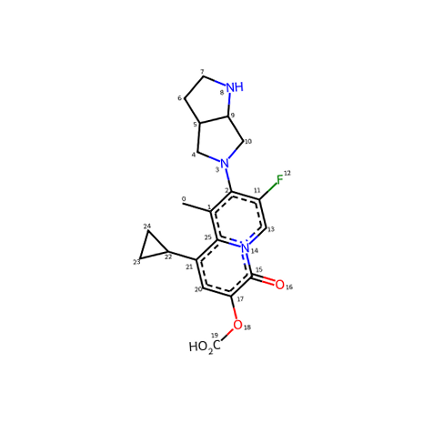 Cc1c(N2CC3CCNC3C2)c(F)cn2c(=O)c(OC(=O)O)cc(C3CC3)c12